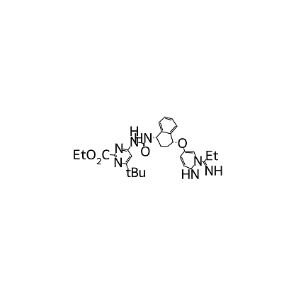 CCOC(=O)c1nc(NC(=O)N[C@H]2CC[C@@H](Oc3ccc(=N)n(C(=N)CC)c3)c3ccccc32)cc(C(C)(C)C)n1